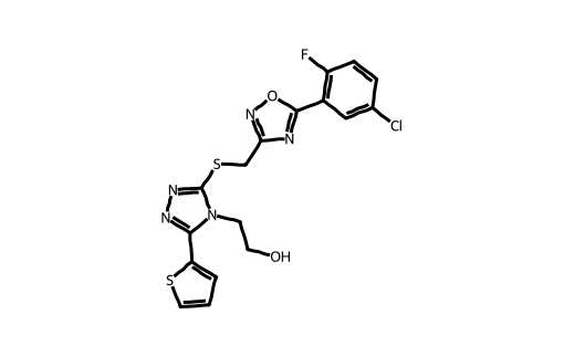 OCCn1c(SCc2noc(-c3cc(Cl)ccc3F)n2)nnc1-c1cccs1